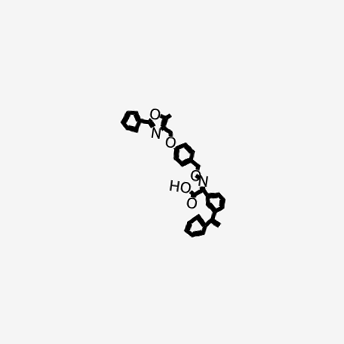 C=C(c1ccccc1)c1cccc(/C(=N/OCc2ccc(OCc3nc(-c4ccccc4)oc3C)cc2)C(=O)O)c1